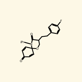 CC(C)N1C(=O)C(CCc2ccc(F)cc2)COC12C=CC(=O)C=C2